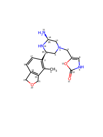 Cc1c([C@@H]2CN(Cc3c[nH]c(=O)o3)C[C@H](N)N2)ccc2c1COC2